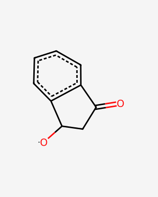 [O]C1CC(=O)c2ccccc21